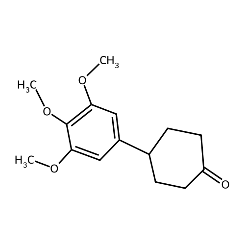 COc1cc(C2CCC(=O)CC2)cc(OC)c1OC